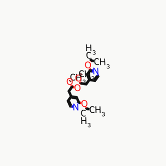 COC(Cc1ccnc(OC(C)C)c1)OC(Cc1ccnc(OC(C)C)c1)OC